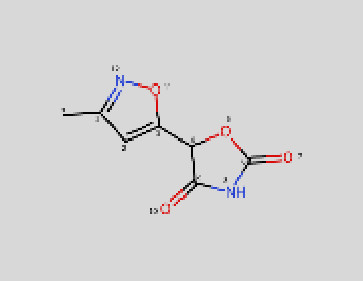 Cc1cc(C2OC(=O)NC2=O)on1